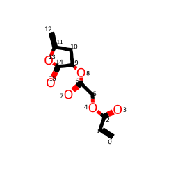 C=CC(=O)OCC(=O)OC1CC(=C)OC1=O